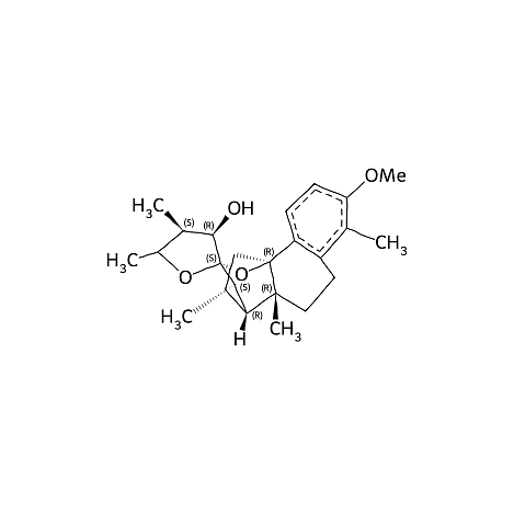 COc1ccc2c(c1C)CC[C@]1(C)[C@@H]3CC[C@]21O[C@@]1(OC(C)[C@@H](C)[C@H]1O)[C@H]3C